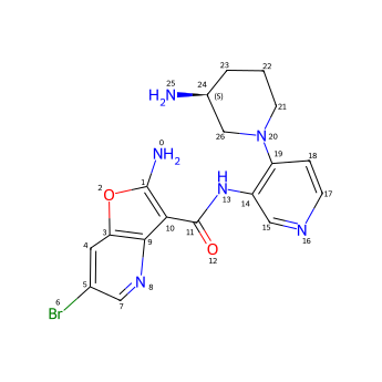 Nc1oc2cc(Br)cnc2c1C(=O)Nc1cnccc1N1CCC[C@H](N)C1